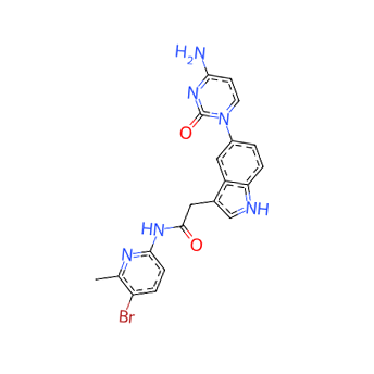 Cc1nc(NC(=O)Cc2c[nH]c3ccc(-n4ccc(N)nc4=O)cc23)ccc1Br